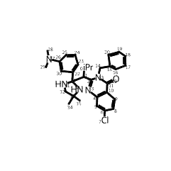 CC(C)C(c1nc2cc(Cl)ccc2c(=O)n1Cc1ccccc1)C1(c2cccc(N(C)C)c2)NCC(C)(C)N1